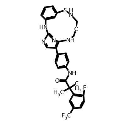 CC(C)(C(=O)Nc1ccc(-c2cnc3nc2NCCCNSc2cccc(c2)N3)cc1)c1cc(C(F)(F)F)ccc1F